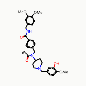 COc1ccc(CN2CCC(N(Cc3ccc(C(=O)NCc4ccc(OC)c(OC)c4)cc3)C(=O)C(C)C)CC2)cc1O